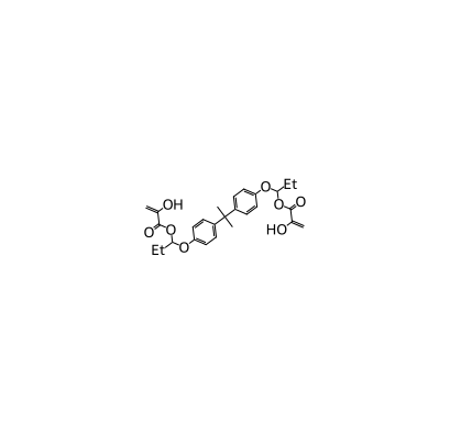 C=C(O)C(=O)OC(CC)Oc1ccc(C(C)(C)c2ccc(OC(CC)OC(=O)C(=C)O)cc2)cc1